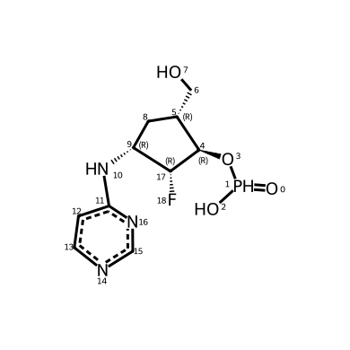 O=[PH](O)O[C@@H]1[C@@H](CO)C[C@@H](Nc2ccncn2)[C@H]1F